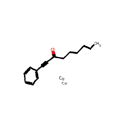 CCCCCCC(=O)C#Cc1ccccc1.[Co].[Co]